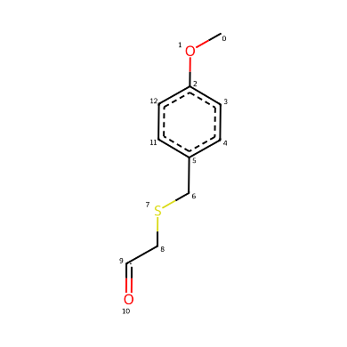 COc1ccc(CSC[C]=O)cc1